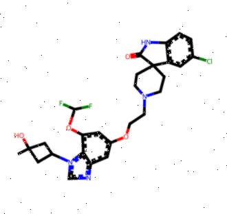 CC1(O)CC(n2cnc3cc(OCCN4CCC5(CC4)C(=O)Nc4ccc(Cl)cc45)cc(OC(F)F)c32)C1